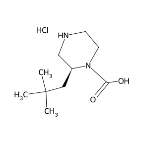 CC(C)(C)C[C@H]1CNCCN1C(=O)O.Cl